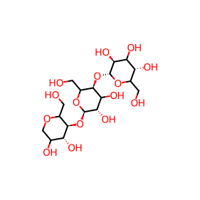 OCC1O[C@H](O[C@@H]2C(CO)O[C@H](O[C@@H]3C(CO)OCC(O)[C@H]3O)[C@@H](O)C2O)[C@@H](O)C(O)[C@@H]1O